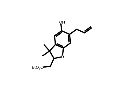 C=CCc1cc2c(cc1O)C(C)(C)C(CC(=O)OCC)O2